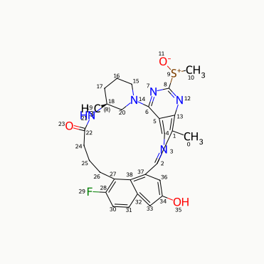 Cc1c2ncc3c(nc([S+](C)[O-])nc13)N1CCC[C@](C)(C1)NC(=O)CCCc1c(F)ccc3cc(O)cc-2c13